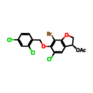 CC(=O)O[C@@H]1COc2c1cc(Cl)c(OCc1ccc(Cl)cc1Cl)c2Br